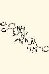 C=C1C(Sc2cccc(Cl)c2Cl)=C(N)N=C(N2CCN(CC(N)c3ccccc3)CC2)N1C